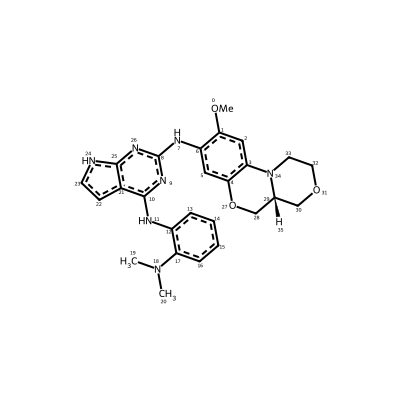 COc1cc2c(cc1Nc1nc(Nc3ccccc3N(C)C)c3cc[nH]c3n1)OC[C@H]1COCCN21